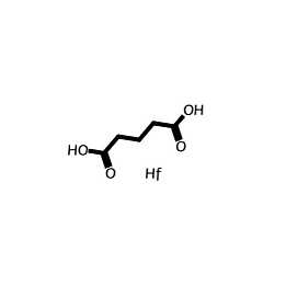 O=C(O)CCCC(=O)O.[Hf]